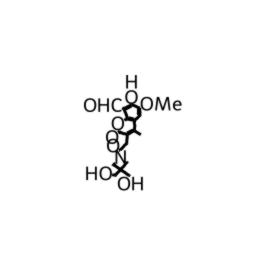 COc1cc2c(C)c(CC(=O)N3CC(CO)(CO)C3)c(=O)oc2c(C=O)c1O